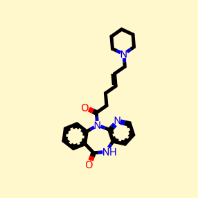 O=C1Nc2cccnc2N(C(=O)CC/C=C/CN2CCCCC2)c2ccccc21